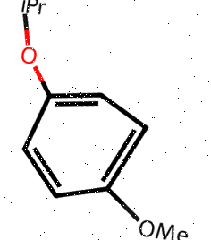 [CH2]Oc1ccc(OC(C)C)cc1